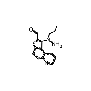 CCCN(N)c1c(C=O)sc2ccc3ncccc3c12